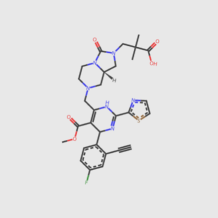 C#Cc1cc(F)ccc1C1N=C(c2nccs2)NC(CN2CCN3C(=O)N(CC(C)(C)C(=O)O)C[C@@H]3C2)=C1C(=O)OC